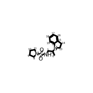 CC(CNS(=O)(=O)N1CCCC1)N1CCc2ccccc21